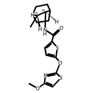 COc1csc(Oc2ccc(C(=O)N[C@@H]3C4CCN(CC4)[C@H]3C)s2)n1